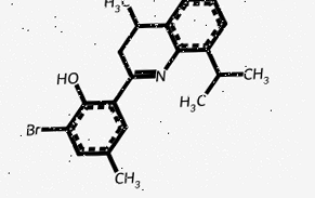 Cc1cc(Br)c(O)c(C2=Nc3c(C(C)C)cccc3C(C)C2)c1